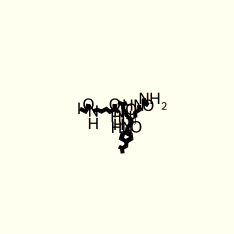 CC(C)Cc1ccc(NC(=O)[C@H](CCCNC(N)=O)NC(=O)C(NC(=O)CCCCNC(=O)CI)C(C)C)cc1